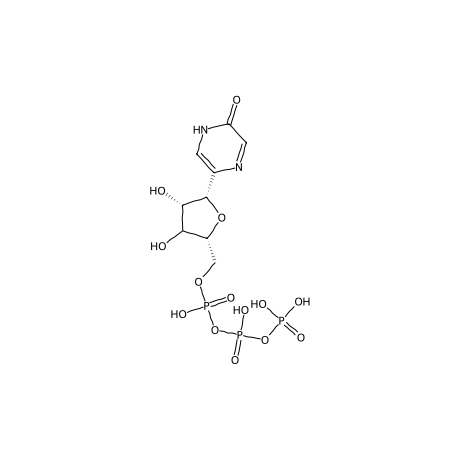 O=c1cnc([C@@H]2O[C@H](COP(=O)(O)OP(=O)(O)OP(=O)(O)O)C(O)[C@@H]2O)c[nH]1